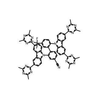 Cc1nc(C)nc(-c2ccc3c(c2)c2cc(-c4nc(C)nc(C)n4)ccc2n3-c2ccc(C(F)(F)F)cc2-c2ccc(C#N)cc2-n2c3ccc(-c4nc(C)nc(C)n4)cc3c3cc(-c4nc(C)nc(C)n4)ccc32)n1